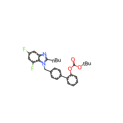 CCCCc1nc2cc(F)cc(F)c2n1Cc1ccc(-c2ccccc2OC(=O)OC(C)(C)C)cc1